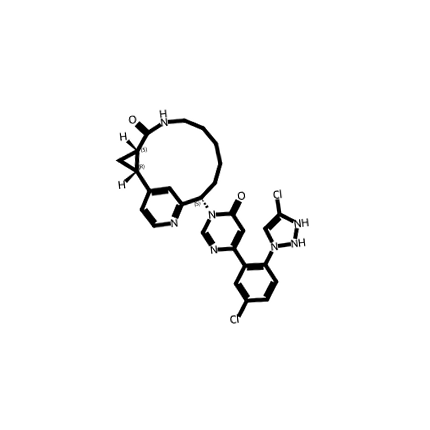 O=C1NCCCCC[C@H](n2cnc(-c3cc(Cl)ccc3N3C=C(Cl)NN3)cc2=O)c2cc(ccn2)[C@@H]2C[C@H]12